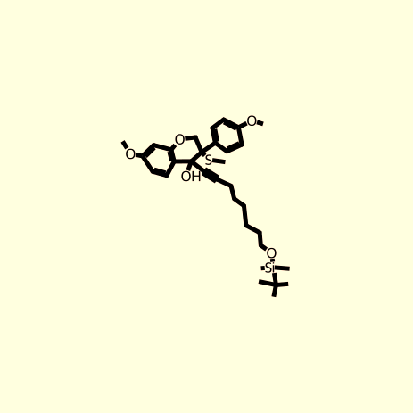 COc1ccc(C2(SC)COc3cc(OC)ccc3C2(O)C#CCCCCCCO[Si](C)(C)C(C)(C)C)cc1